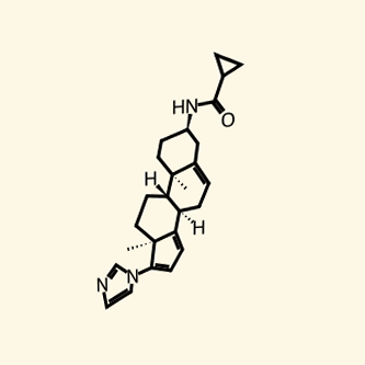 C[C@]12CC[C@H]3[C@@H](CC=C4C[C@H](NC(=O)C5CC5)CC[C@@]43C)C1=CC=C2n1ccnc1